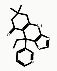 CCC1(c2cccnc2)C2=C(CC(C)(C)CC2=O)Nc2ncsc21